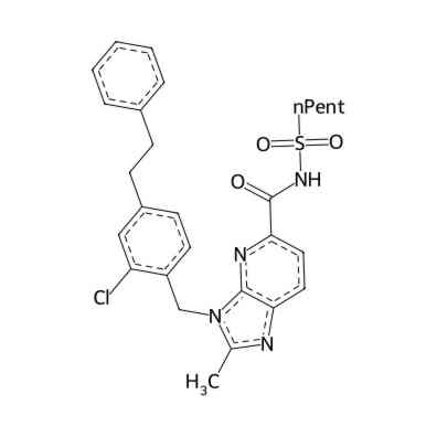 CCCCCS(=O)(=O)NC(=O)c1ccc2nc(C)n(Cc3ccc(CCc4ccccc4)cc3Cl)c2n1